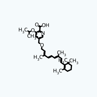 CC(C=CC1=C(C)CCCC1(C)C)=CC=CC(C)=CCOCc1cnc(C(=O)O)c(OC(C)C)c1